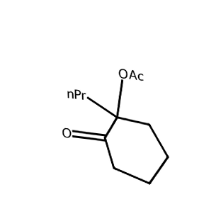 CCCC1(OC(C)=O)CCCCC1=O